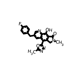 Cc1nnc(-c2c3c(c(O)c4ncc(Cc5ccc(F)cc5)cc24)C(=O)N(C)C3)o1